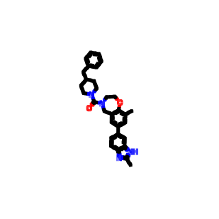 Cc1nc2ccc(-c3cc(C)c4c(c3)CN(C(=O)N3CCC(Cc5ccccc5)CC3)CCO4)cc2[nH]1